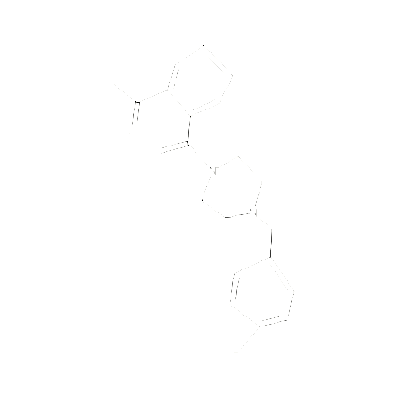 CC(=O)c1ccccc1C(=O)N1CCN(Cc2ccc(F)cc2)CC1